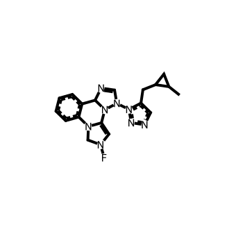 CC1CC1Cc1cnnn1N1C=NC2c3ccccc3N3CN(F)C=C3N21